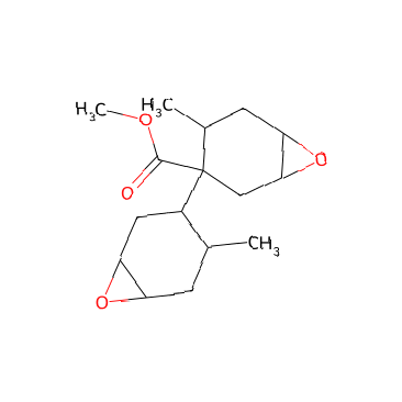 COC(=O)C1(C2CC3OC3CC2C)CC2OC2CC1C